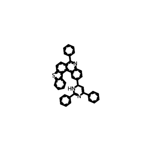 C1=C(c2ccccc2)N=C(c2ccccc2)NC1c1ccc2nc(-c3ccccc3)c3ccc4sc5ccccc5c4c3c2c1